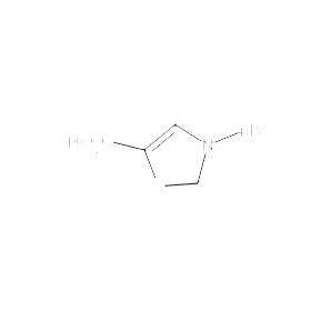 CCCN1C=C(C(=O)O)SC1